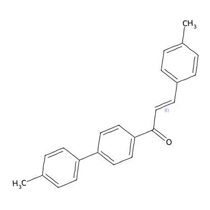 Cc1ccc(/C=C/C(=O)c2ccc(-c3ccc(C)cc3)cc2)cc1